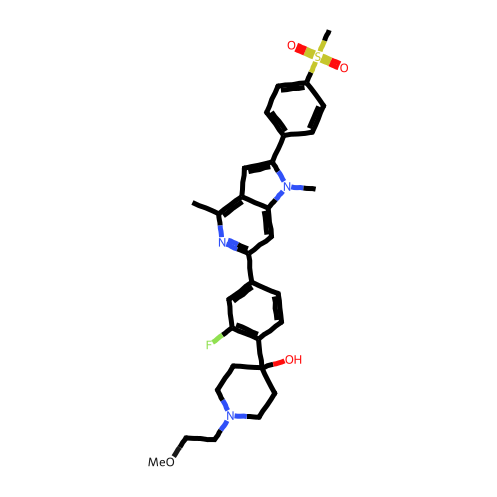 COCCN1CCC(O)(c2ccc(-c3cc4c(cc(-c5ccc(S(C)(=O)=O)cc5)n4C)c(C)n3)cc2F)CC1